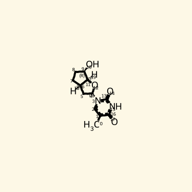 Cc1cn([C@@H]2C[C@H]3CC[C@@H](O)[C@H]3O2)c(=O)[nH]c1=O